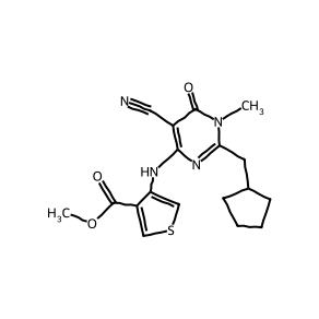 COC(=O)c1cscc1Nc1nc(CC2CCCC2)n(C)c(=O)c1C#N